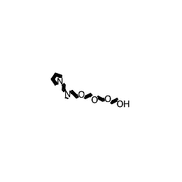 CN(CCOCCOCCOCCO)CCN1CCCC1